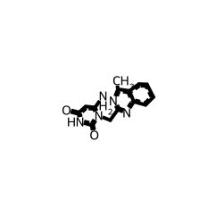 Cc1nc(Cn2c(N)cc(=O)[nH]c2=O)nc2ccccc12